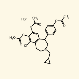 Br.CC(=O)Oc1ccc(C2CN(CC3CC3)CCc3c2cc(OC(C)=O)c(OC(C)=O)c3Cl)cc1